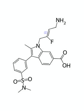 Cc1c(-c2cccc(S(=O)(=O)N(C)C)c2)c2ccc(C(=O)O)cc2n1C/C(F)=C/CN